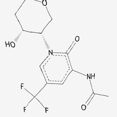 CC(=O)Nc1cc(C(F)(F)F)cn([C@H]2COCC[C@H]2O)c1=O